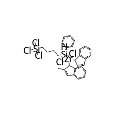 CC1=Cc2ccccc2[CH]1[Zr]([Cl])([Cl])([CH]1C(C)=Cc2ccccc21)[SiH](CCCC[Si](Cl)(Cl)Cl)c1ccccc1